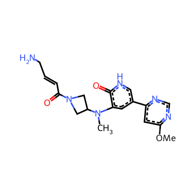 COc1cc(-c2c[nH]c(=O)c(N(C)C3CN(C(=O)C=CCN)C3)c2)ncn1